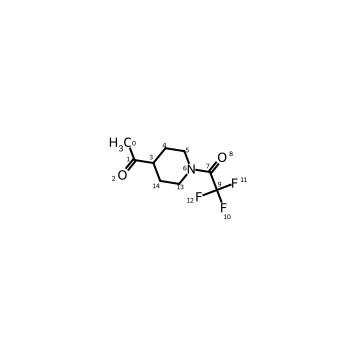 CC(=O)C1CCN(C(=O)C(F)(F)F)CC1